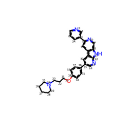 c1cncc(-c2cc3c(cn2)[nH]c2ncc(-c4ccc(OCCCN5CCCCC5)cc4)cc23)c1